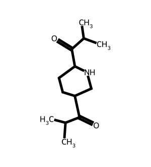 CC(C)C(=O)C1CCC(C(=O)C(C)C)NC1